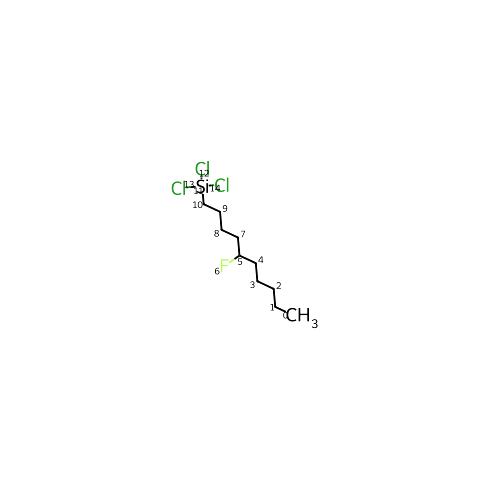 CCCCCC(F)CCCC[Si](Cl)(Cl)Cl